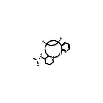 C[S+]([O-])NC1CCCN2COc3ncccc3[C@H]3CC[C@H](CC3)OCC12